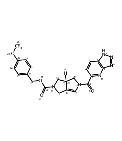 O=C(c1ccc2[nH]nnc2n1)N1C=C2CN(C(=O)OCc3ccc(OC(F)(F)F)cc3)C[C@@H]2C1